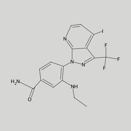 CCNc1cc(C(N)=O)ccc1-n1nc(C(F)(F)F)c2c(I)ccnc21